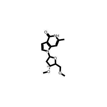 COCC1OC(n2ccc3c(=O)[nH]c(C)cc32)C[C@H]1OC